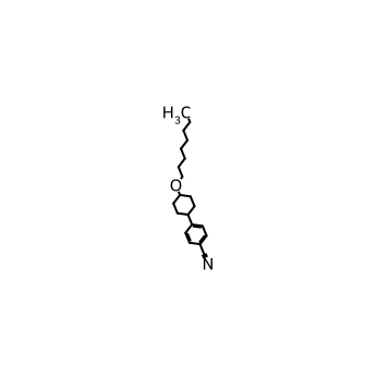 CCCCCCCCOC1CCC(c2ccc(C#N)cc2)CC1